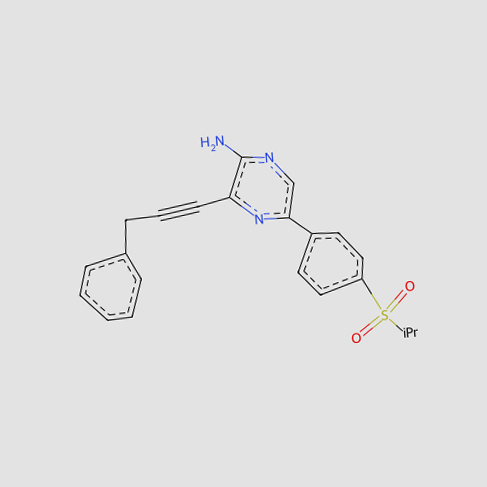 CC(C)S(=O)(=O)c1ccc(-c2cnc(N)c(C#CCc3ccccc3)n2)cc1